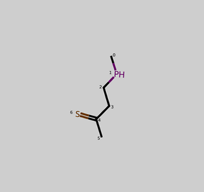 CPCCC(C)=S